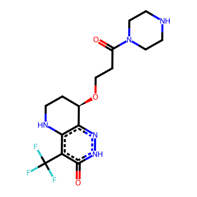 O=C(CCO[C@@H]1CCNc2c1n[nH]c(=O)c2C(F)(F)F)N1CCNCC1